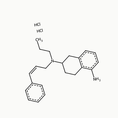 CCCN(C/C=C\c1ccccc1)C1CCc2c(N)cccc2C1.Cl.Cl